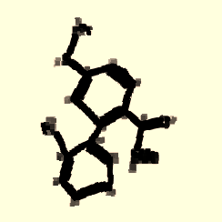 CCCSc1ccc(C(=O)SC)c(-c2ccccc2CC)c1